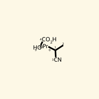 CCCC(C)C#N.O=C(O)O